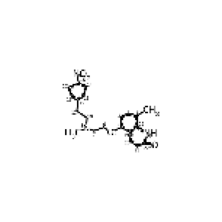 Cc1ccc(OCCN(C)CCc2ccc([N+](=O)[O-])cc2)c2ccc(=O)[nH]c12